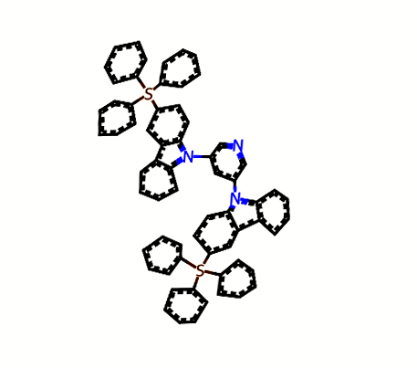 c1ccc(S(c2ccccc2)(c2ccccc2)c2ccc3c(c2)c2ccccc2n3-c2cncc(-n3c4ccccc4c4cc(S(c5ccccc5)(c5ccccc5)c5ccccc5)ccc43)c2)cc1